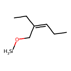 CCC=C(CC)CO[SiH3]